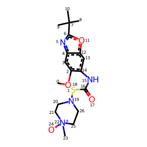 COc1cc2nc(C(C)(C)C)oc2cc1NC(=O)SN1CC[N+](C)([O-])CC1